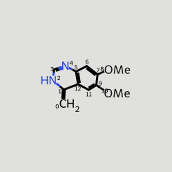 C=C1NC=Nc2cc(OC)c(OC)cc21